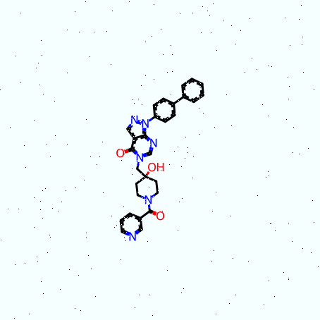 O=C(c1cccnc1)N1CCC(O)(Cn2cnc3c(cnn3-c3ccc(-c4ccccc4)cc3)c2=O)CC1